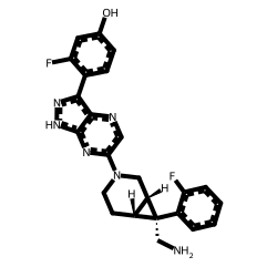 NC[C@]1(c2ccccc2F)[C@@H]2CCN(c3cnc4c(-c5ccc(O)cc5F)n[nH]c4n3)C[C@@H]21